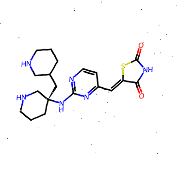 O=C1NC(=O)/C(=C/c2ccnc(N[C@]3(CC4CCCNC4)CCCNC3)n2)S1